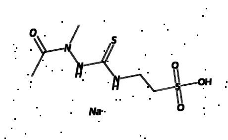 CC(=O)N(C)NC(=S)NCCS(=O)(=O)O.[Na]